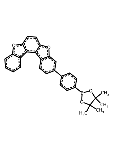 CC1(C)OB(c2ccc(-c3ccc4c(c3)oc3ccc5oc6ccccc6c5c34)cc2)OC1(C)C